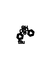 CC(C)(C)c1ccc(OP(=O)(O)Oc2ccccc2)cc1